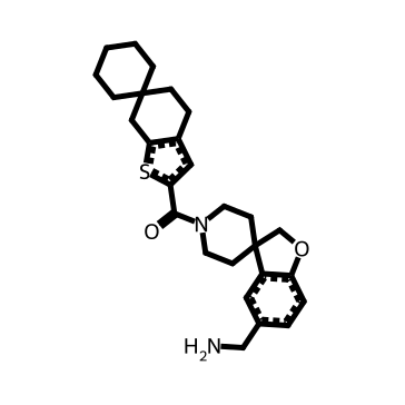 NCc1ccc2c(c1)C1(CCN(C(=O)c3cc4c(s3)CC3(CCCCC3)CC4)CC1)CO2